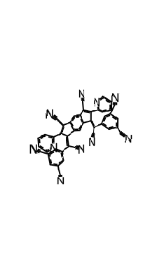 N#CC1=C(c2ccccn2)/C(=C(/C#N)c2cc(C#N)cc(C#N)c2)c2cc3c(cc21)C(C#N)=C(c1ccccn1)/C3=C(/C#N)c1cc(C#N)cc(C#N)c1